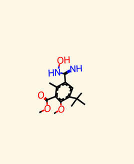 COC(=O)c1c(C)c(C(=N)NO)cc(C(C)(C)C)c1OC